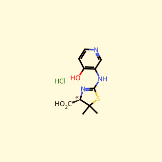 CC1(C)SC(Nc2cnccc2O)=N[C@@H]1C(=O)O.Cl